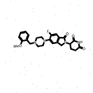 COc1ccccc1CN1CCN(c2cc3c(cc2F)C(=O)N(C2CCC(=O)NC2=O)C3)CC1